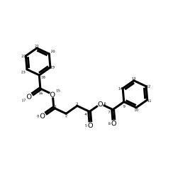 O=C(CCC(=O)OC(=O)c1ccccc1)OC(=O)c1ccccc1